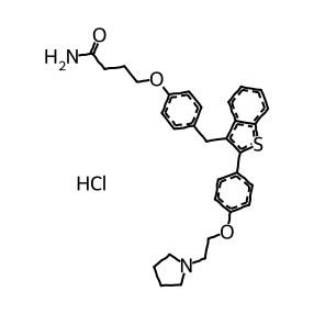 Cl.NC(=O)CCCOc1ccc(Cc2c(-c3ccc(OCCN4CCCC4)cc3)sc3ccccc23)cc1